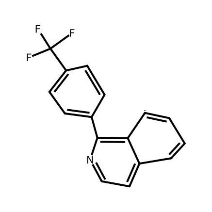 FC(F)(F)c1ccc(-c2nccc3ccc[c]c23)cc1